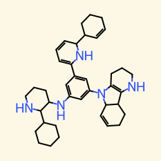 C1=CC(C2C=CCCC2)NC(c2cc(NC3CCCNC3C3CCCCC3)cc(N3C4=C(NCCC4)C4CCC=CC43)c2)=C1